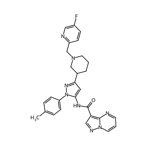 Cc1ccc(-n2nc(C3CCCN(Cc4ccc(F)cn4)C3)cc2NC(=O)c2cnn3cccnc23)cc1